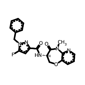 CN1C(=O)[C@@H](NC(=O)c2cc(F)n(Cc3ccccc3)n2)COc2cccnc21